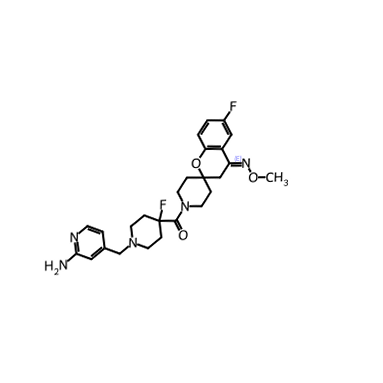 CO/N=C1\CC2(CCN(C(=O)C3(F)CCN(Cc4ccnc(N)c4)CC3)CC2)Oc2ccc(F)cc21